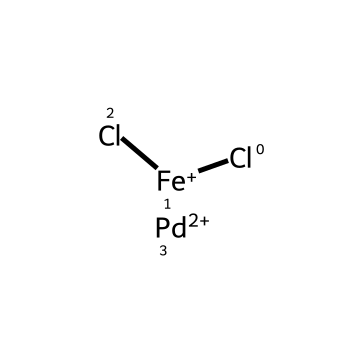 [Cl][Fe+][Cl].[Pd+2]